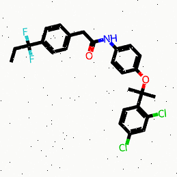 CCC(F)(F)c1ccc(CC(=O)Nc2ccc(OC(C)(C)c3ccc(Cl)cc3Cl)cc2)cc1